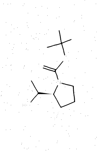 CC(O)[C@@H]1[C@@H](F)CCN1C(=O)OC(C)(C)C